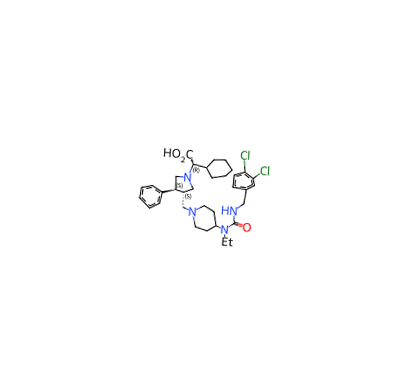 CCN(C(=O)NCc1ccc(Cl)c(Cl)c1)C1CCN(C[C@H]2CN([C@@H](C(=O)O)C3CCCCC3)C[C@@H]2c2ccccc2)CC1